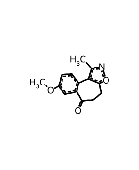 COc1ccc2c(c1)C(=O)CCc1onc(C)c1-2